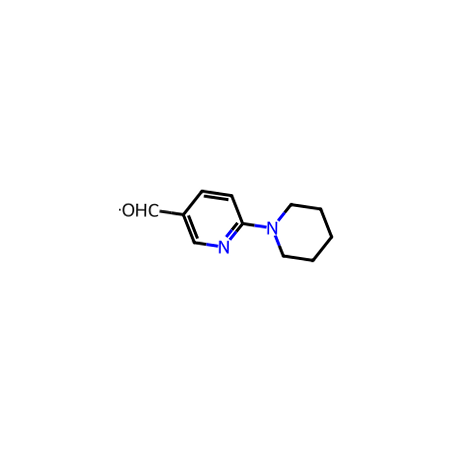 O=[C]c1ccc(N2CCCCC2)nc1